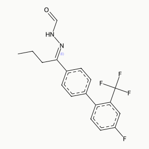 CCC/C(=N\NC=O)c1ccc(-c2ccc(F)cc2C(F)(F)F)cc1